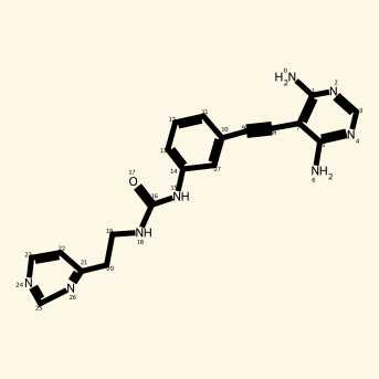 Nc1ncnc(N)c1C#Cc1cccc(NC(=O)NCCc2ccncn2)c1